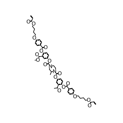 C=CC(=O)OCCCCOc1ccc(C(=O)Oc2ccc(OC(=O)N3CCN(C(=O)Oc4ccc(OC(=O)c5ccc(OCCCCOC(=O)C=C)cc5)c(C(=O)OC)c4)CC3C)cc2C(C)=O)cc1